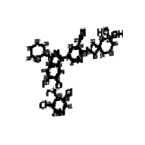 C[C@@H](Oc1cc2c(-c3cnc(N4CC5(CCCS(O)(O)C5)C4)c(C#N)c3)nn(C3CCCCO3)c2cc1F)c1c(Cl)cncc1Cl